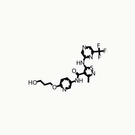 Cc1nsc(Nc2cncc(C(F)(F)F)n2)c1C(=O)Nc1ccc(OCCCO)nc1